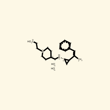 CC(=Cc1ccccc1)C1C[C@@H]1NCC1CCN(CCC(=O)O)CC1.Cl.Cl